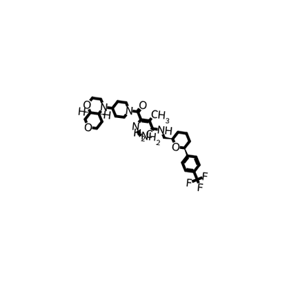 C=C(NC[C@H]1CCC[C@@H](c2ccc(C(F)(F)F)cc2)O1)/C(C)=C(\N=C/N)C(=O)N1CCC(N2CCO[C@@H]3COCC[C@@H]32)CC1